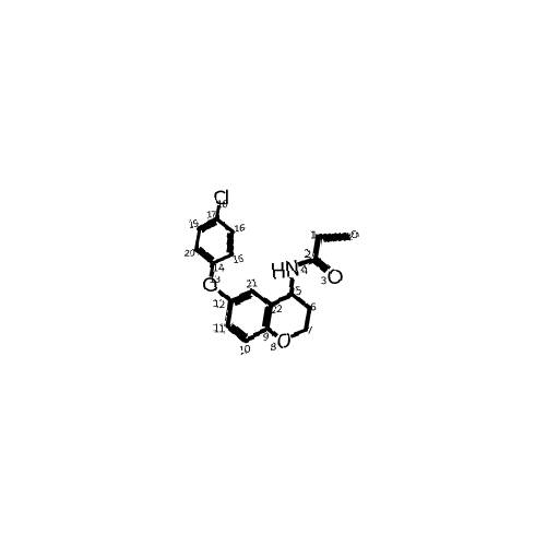 C=CC(=O)NC1CCOc2ccc(Oc3ccc(Cl)cc3)cc21